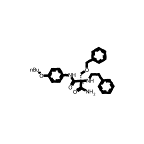 CCCCOc1ccc(NC(=O)[C@@](COCc2ccccc2)(NCCc2ccccc2)C(N)=O)cc1